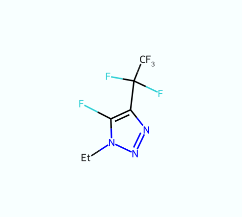 CCn1nnc(C(F)(F)C(F)(F)F)c1F